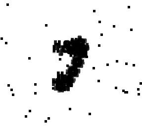 CC(C)(C)OC(=O)N1[C@@H]2CC[C@@H](C2)[C@H]1c1ncc(-c2ccc(-c3ccc(-c4cnc([C@H]5N[C@@H]6CC[C@H]5C6)[nH]4)cc3)cc2)[nH]1